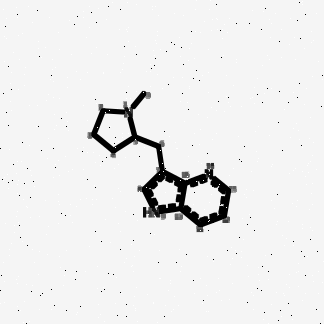 CN1CCCC1Cc1c[nH]c2cccnc12